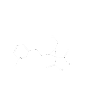 O=C(O)C1(C(=O)O)C(CCl)C1CCc1cccc(F)c1